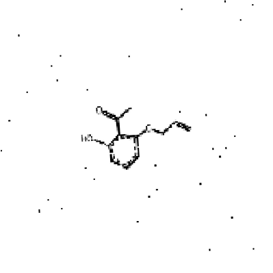 C=CCOc1cccc(O)c1C(C)=O